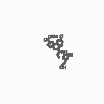 CC=C(NC1NC=C(CCO)S1)N1CC2(CCN(C(=O)OC)C2)c2cc(Cl)ccc21